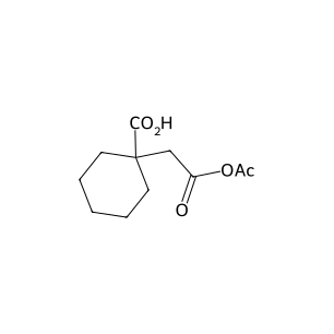 CC(=O)OC(=O)CC1(C(=O)O)CCCCC1